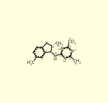 Cc1ccc2c(c1)[C@H](Nc1nc(C)nc(C(Cl)(Cl)Cl)n1)[C@@H](C)C2